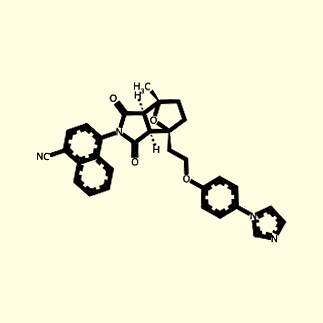 C[C@@]12CC[C@@](CCOc3ccc(-n4ccnc4)cc3)(O1)[C@H]1C(=O)N(c3ccc(C#N)c4ccccc34)C(=O)[C@H]12